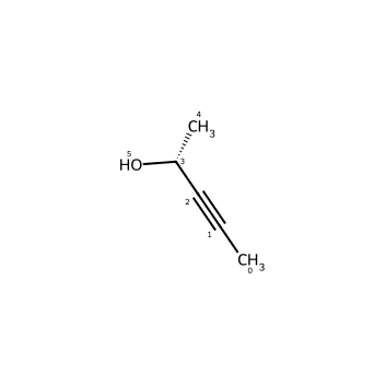 CC#C[C@@H](C)O